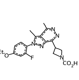 CCOc1ccc(-n2nc3c(C4CN(C(=O)O)C4)nnc(C)c3c2C)c(F)c1